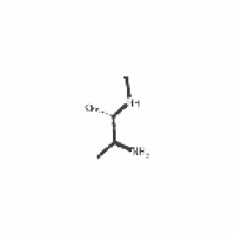 CN[C@@H](Cl)C(C)N